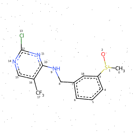 C[S+]([O-])c1cccc(CNc2nc(Cl)ncc2C(F)(F)F)c1